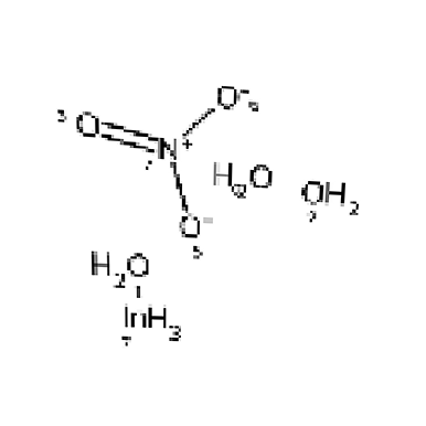 O.O.O.O=[N+]([O-])[O-].[InH3]